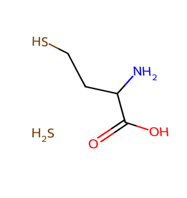 NC(CCS)C(=O)O.S